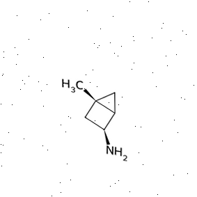 C[C@@]12CC1[C@@H](N)C2